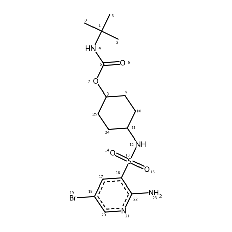 CC(C)(C)NC(=O)OC1CCC(NS(=O)(=O)c2cc(Br)cnc2N)CC1